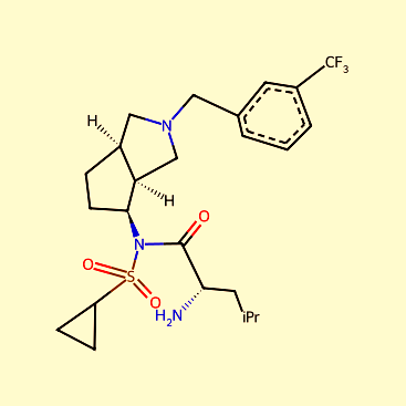 CC(C)C[C@H](N)C(=O)N([C@H]1CC[C@H]2CN(Cc3cccc(C(F)(F)F)c3)C[C@H]21)S(=O)(=O)C1CC1